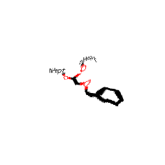 CCCCCCCOC(COCc1ccccc1)OCCCCCCC